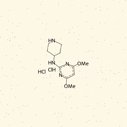 COc1cc(OC)nc(NC2CCNCC2)n1.Cl.Cl